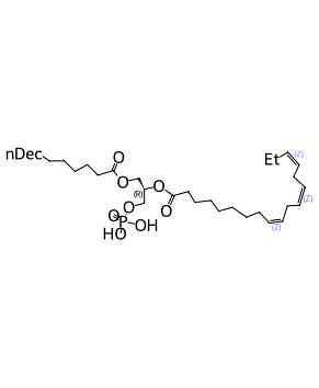 CC/C=C\C/C=C\C/C=C\CCCCCCCC(=O)O[C@H](COC(=O)CCCCCCCCCCCCCCC)COP(=O)(O)O